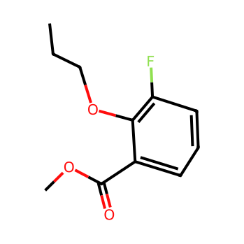 CCCOc1c(F)cccc1C(=O)OC